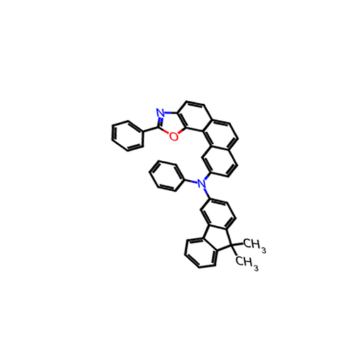 CC1(C)c2ccccc2-c2cc(N(c3ccccc3)c3ccc4ccc5ccc6nc(-c7ccccc7)oc6c5c4c3)ccc21